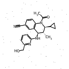 CC(=O)N1c2ccc(C#N)cc2[C@H](Nc2cccc(CO)n2)[C@@H](C)[C@@H]1C1CC1